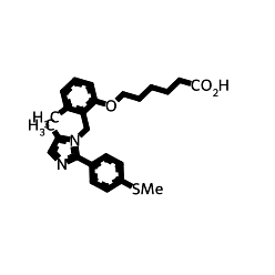 CSc1ccc(-c2ncc(C)n2Cc2c(C)cccc2OCCCCCC(=O)O)cc1